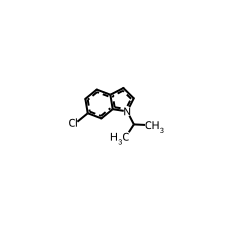 CC(C)n1ccc2ccc(Cl)cc21